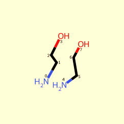 NCCO.NCCO